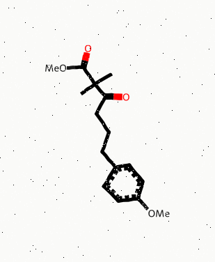 COC(=O)C(C)(C)C(=O)CCCc1ccc(OC)cc1